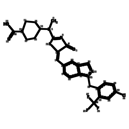 CN(C1=NC(=O)C(=Cc2ccc3c(cnn3Cc3ccc(Cl)cc3C(F)(F)F)c2)S1)C1CCN(C(=O)O)CC1